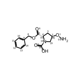 NO[C@@H]1C[C@@H](C(=O)OCc2ccccc2)N(C(=O)O)C1